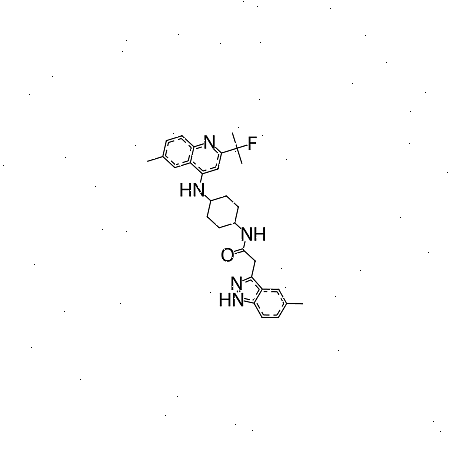 Cc1ccc2nc(C(C)(C)F)cc(NC3CCC(NC(=O)Cc4n[nH]c5ccc(C)cc45)CC3)c2c1